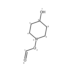 O=CON1CCC(O)CC1